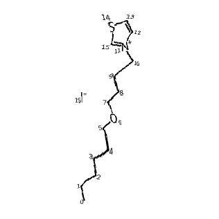 CCCCCCOCCCC[n+]1ccsc1.[I-]